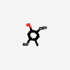 COc1cc(C)c(OC(C)=O)cc1O